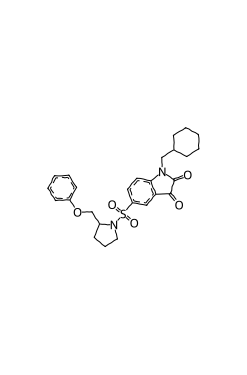 O=C1C(=O)N(CC2CCCCC2)c2ccc(S(=O)(=O)N3CCCC3COc3ccccc3)cc21